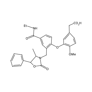 CCNC(=O)c1ccc(Oc2cc(CC(=O)O)ccc2OC)c(CN2C(=O)OC(c3ccccc3)C2C)c1